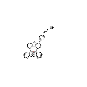 OCCOc1ccc(-c2ccc(-c3cccc4ccccc34)c3c2Cc2cccc(-c4cccc5ccccc45)c2-3)cc1